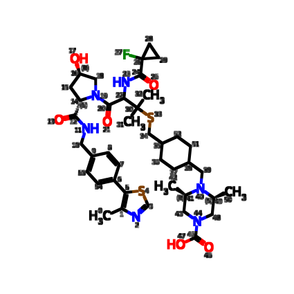 Cc1ncsc1-c1ccc(CNC(=O)[C@@H]2C[C@@H](O)CN2C(=O)C(NC(=O)C2(F)CC2)C(C)(C)SCC2CCC(CN3[C@H](C)CN(C(=O)O)C[C@@H]3C)CC2)cc1